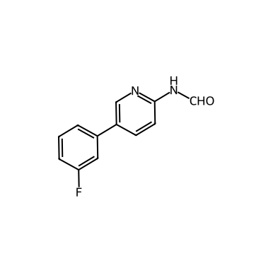 O=CNc1ccc(-c2cccc(F)c2)cn1